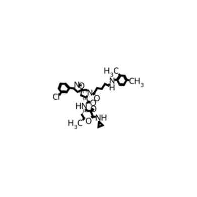 CCC[C@H](NC(=O)[C@@H]1C[C@]2(CC(c3cccc(Cl)c3)=NO2)CN1C(=O)CCCCNc1ccc(C)cc1C)C(=O)C(=O)NC1CC1